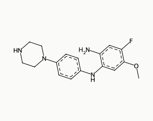 COc1cc(Nc2ccc(N3CCNCC3)cc2)c(N)cc1F